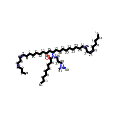 CCC/C=C\C/C=C\CCCCCCCCC(CCCCCCCC/C=C\C/C=C\CCCCC)N(CCCN(C)C)C(=O)CCCCCCCC